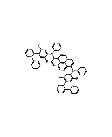 Fc1cc(N(c2ccccc2)c2ccc3ccc4c(N(c5ccccc5)c5cc(F)c(-c6ccccc6-c6ccccc6)cc5F)ccc5ccc2c3c54)c(F)cc1-c1ccccc1-c1ccccc1